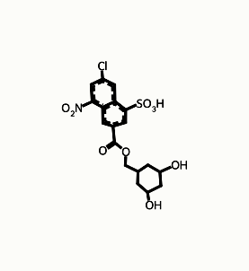 O=C(OCC1CC(O)CC(O)C1)c1cc(S(=O)(=O)O)c2cc(Cl)cc([N+](=O)[O-])c2c1